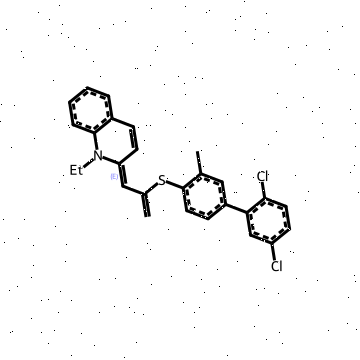 C=C(/C=C1\C=Cc2ccccc2N1CC)Sc1ccc(-c2cc(Cl)ccc2Cl)cc1C